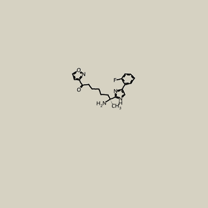 C[C@](N)(CCCCCC(=O)c1ccon1)c1nc(-c2ccccc2F)c[nH]1